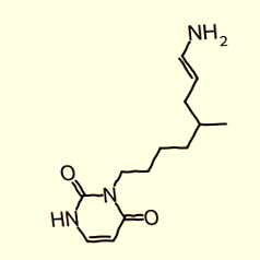 CC(CC=CN)CCCCn1c(=O)cc[nH]c1=O